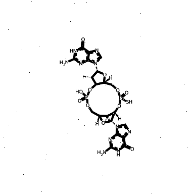 Nc1nc2c(ncn2[C@@H]2O[C@@H]3COP(=O)(S)O[C@H]4C(O)[C@@H](COP(=O)(O)OC3[C@@H]2F)O[C@H]4n2cnc3c(=O)[nH]c(N)nc32)c(=O)[nH]1